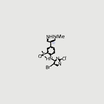 CN/C=C(\C=N)c1ccc(Nc2nc(Cl)ncc2Br)c(P(C)(C)=O)c1